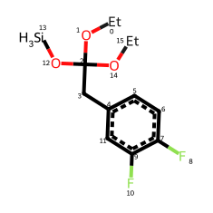 CCOC(Cc1ccc(F)c(F)c1)(O[SiH3])OCC